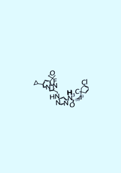 CC1([C@H]2C[C@@H]2C(=O)Nc2cc(NCc3cn4cc(C5CC5)cc(C5(F)COC5)c4n3)ncn2)C=CC=C(Cl)C1